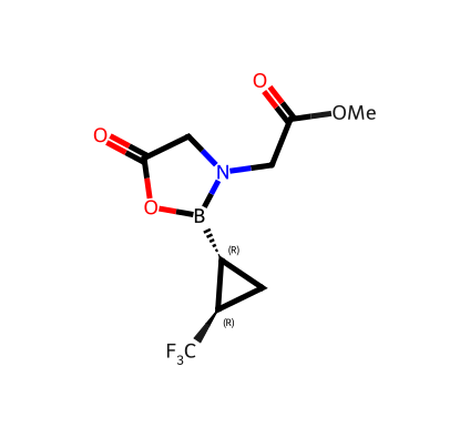 COC(=O)CN1CC(=O)OB1[C@@H]1C[C@H]1C(F)(F)F